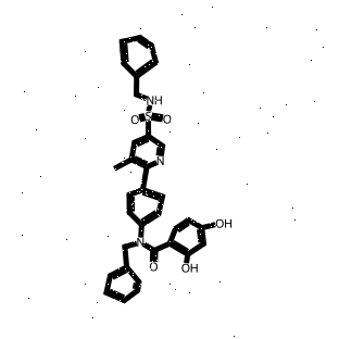 Cc1cc(S(=O)(=O)NCc2ccccc2)cnc1-c1ccc(N(Cc2ccccc2)C(=O)c2ccc(O)cc2O)cc1